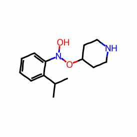 CC(C)c1ccccc1N(O)OC1CCNCC1